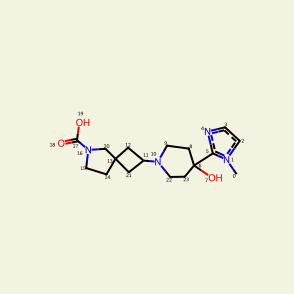 Cn1ccnc1C1(O)CCN(C2CC3(CCN(C(=O)O)C3)C2)CC1